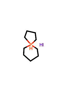 C1CC[PH]2(CC1)CCCC2.I